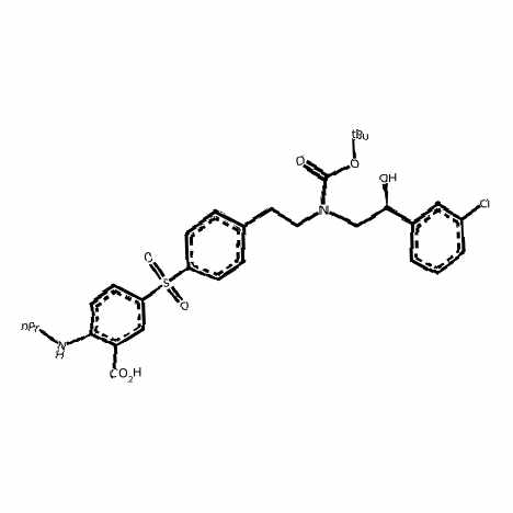 CCCNc1ccc(S(=O)(=O)c2ccc(CCN(C[C@@H](O)c3cccc(Cl)c3)C(=O)OC(C)(C)C)cc2)cc1C(=O)O